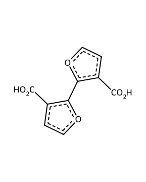 O=C(O)c1ccoc1-c1occc1C(=O)O